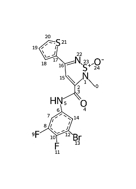 CN1C(C(=O)Nc2cc(F)c(F)c(Br)c2)=CC(c2cccs2)=N[S+]1[O-]